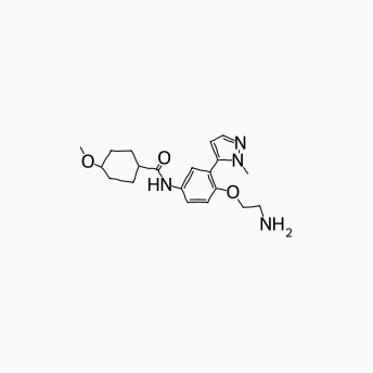 COC1CCC(C(=O)Nc2ccc(OCCN)c(-c3ccnn3C)c2)CC1